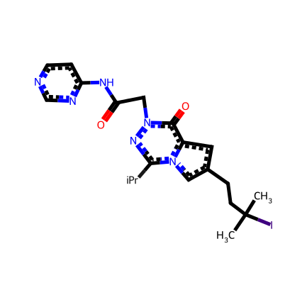 CC(C)c1nn(CC(=O)Nc2ccncn2)c(=O)c2cc(CCC(C)(C)I)cn12